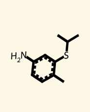 Cc1ccc(N)cc1SC(C)C